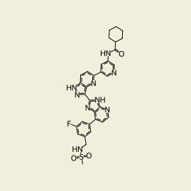 CS(=O)(=O)NCc1cc(F)cc(-c2ccnc3[nH]c(-c4n[nH]c5ccc(-c6cncc(NC(=O)C7CCCCC7)c6)nc45)nc23)c1